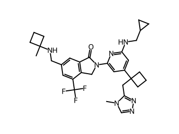 Cn1cnnc1CC1(c2cc(NCC3CC3)nc(N3Cc4c(cc(CNC5(C)CCC5)cc4C(F)(F)F)C3=O)c2)CCC1